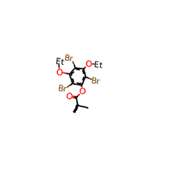 C=C(C)C(=O)Oc1c(Br)c(OCC)c(Br)c(OCC)c1Br